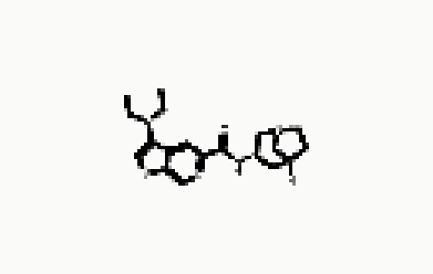 CCN(CC)c1csc2cnc(C(=O)N[C@@H]3C[C@H]4CCN(C4)C3)cc12